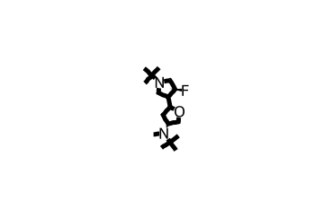 CN([C@H]1COC(C2CN(C(C)(C)C)C[C@H]2F)C1)C(C)(C)C